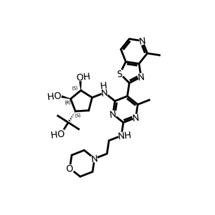 Cc1nc(NCCN2CCOCC2)nc(NC2C[C@H](C(C)(C)O)[C@@H](O)[C@H]2O)c1-c1nc2c(C)nccc2s1